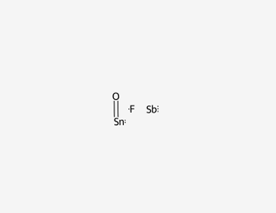 [F].[O]=[Sn].[Sb]